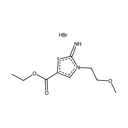 Br.CCOC(=O)c1cn(CCOC)c(=N)s1